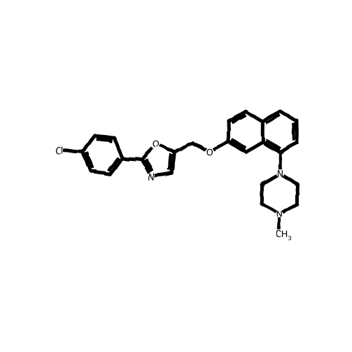 CN1CCN(c2cccc3ccc(OCc4cnc(-c5ccc(Cl)cc5)o4)cc23)CC1